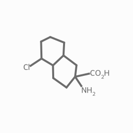 NC1(C(=O)O)CCC2C(Cl)CCCC2C1